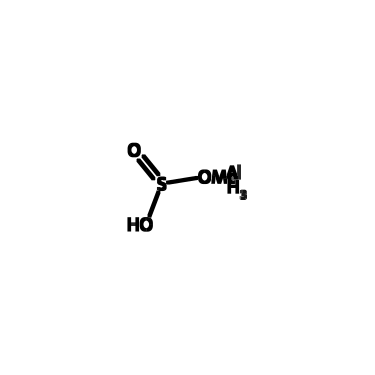 COS(=O)O.[AlH3]